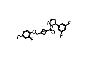 O=C(N1N=CCC1c1cc(F)cc(F)c1)C12CC(COc3ccc(F)cc3F)(C1)C2